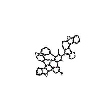 Cc1c(-c2cccc(F)c2)c(-n2c3ccccc3c3c4c(ccc32)oc2ccccc24)c(-c2cccc(F)c2)c(C)c1-n1c2ccccc2c2c3c(ccc21)oc1ccccc13